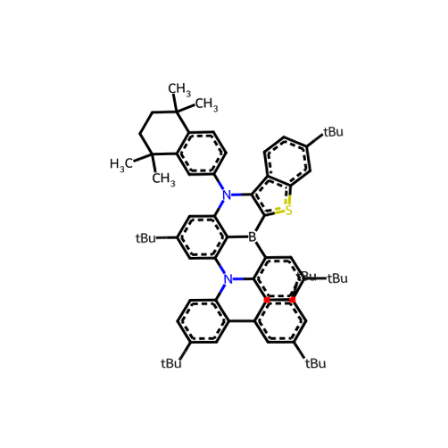 CC(C)(C)c1cc(-c2cc(C(C)(C)C)ccc2N2c3ccc(C(C)(C)C)cc3B3c4sc5cc(C(C)(C)C)ccc5c4N(c4ccc5c(c4)C(C)(C)CCC5(C)C)c4cc(C(C)(C)C)cc2c43)cc(C(C)(C)C)c1